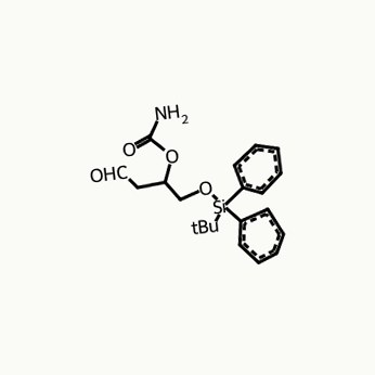 CC(C)(C)[Si](OCC(CC=O)OC(N)=O)(c1ccccc1)c1ccccc1